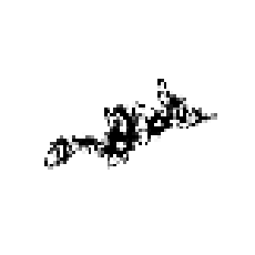 COc1cc2c(Oc3ccc(N4C(=O)CN(CC(C)C)C4=O)cc3F)ccnc2cc1OCCCN1CCOCC1